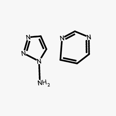 Nn1ccnn1.c1cncnc1